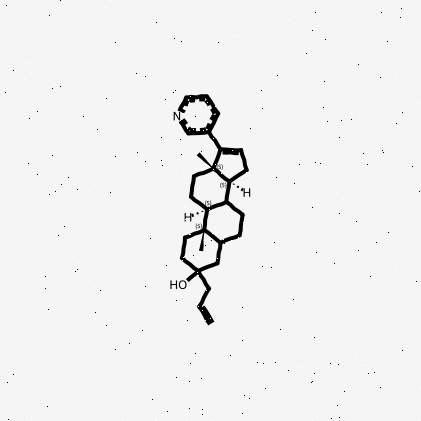 C=CCC1(O)CC[C@@]2(C)C(CCC3[C@@H]2CC[C@]2(C)C(c4cccnc4)=CC[C@@H]32)C1